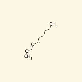 CCCCC[CH]OCOC